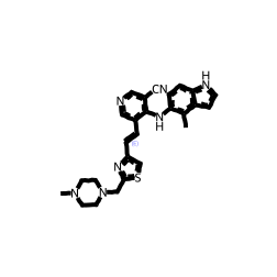 Cc1c(Nc2c(C#N)cncc2/C=C/c2csc(CN3CCN(C)CC3)n2)ccc2[nH]ccc12